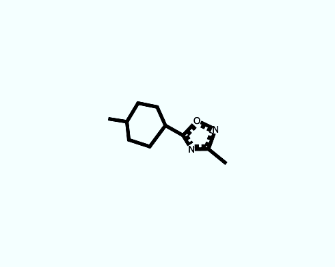 Cc1noc(C2CCC(C)CC2)n1